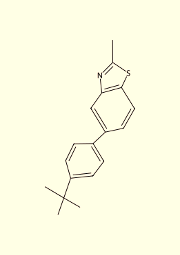 Cc1nc2cc(-c3ccc(C(C)(C)C)cc3)ccc2s1